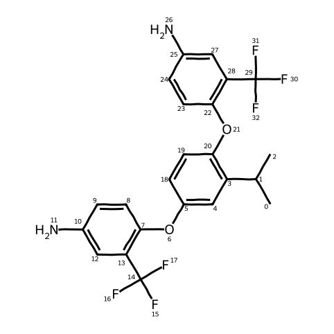 CC(C)c1cc(Oc2ccc(N)cc2C(F)(F)F)ccc1Oc1ccc(N)cc1C(F)(F)F